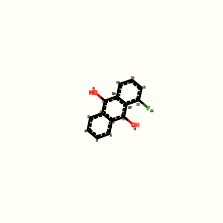 Oc1c2ccccc2c(O)c2c(F)cccc12